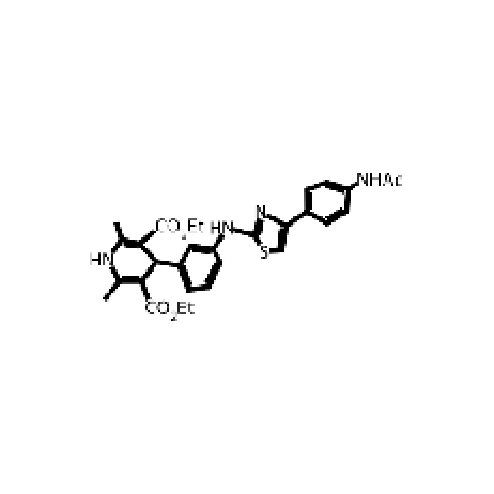 CCOC(=O)C1=C(C)NC(C)=C(C(=O)OCC)C1c1cccc(Nc2nc(-c3ccc(NC(C)=O)cc3)cs2)c1